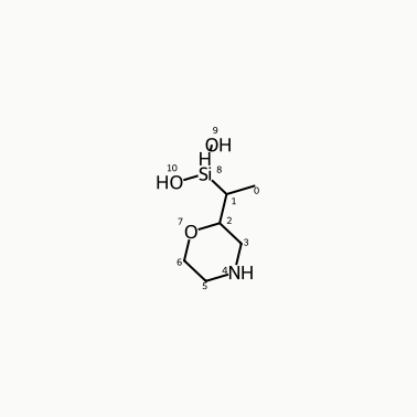 CC(C1CNCCO1)[SiH](O)O